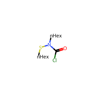 CCCCCCSN(CCCCCC)C(=O)Cl